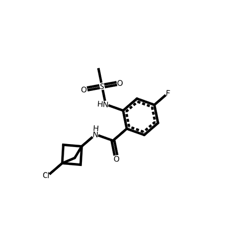 CS(=O)(=O)Nc1cc(F)ccc1C(=O)NC12CC(Cl)(C1)C2